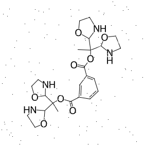 CC(OC(=O)c1cccc(C(=O)OC(C)(C2NCCO2)C2NCCO2)c1)(C1NCCO1)C1NCCO1